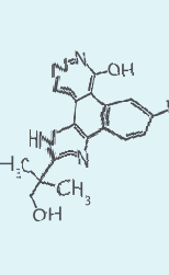 CC(C)(CO)c1nc2c3ccc(F)cc3c3c(O)nncc3c2[nH]1